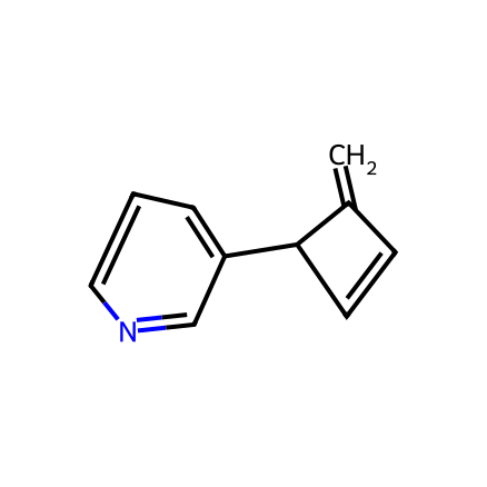 C=C1C=CC1c1cccnc1